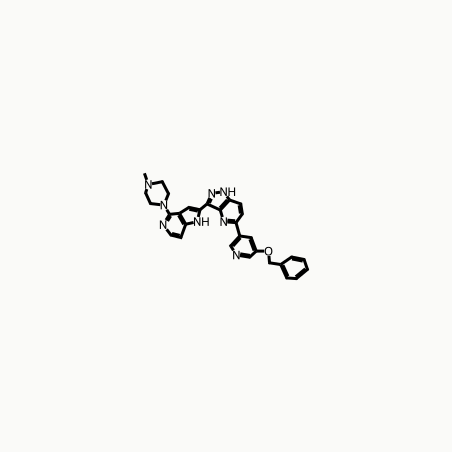 CN1CCN(c2nccc3[nH]c(-c4n[nH]c5ccc(-c6cncc(OCc7ccccc7)c6)nc45)cc23)CC1